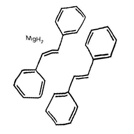 C(=Cc1ccccc1)c1ccccc1.C(=Cc1ccccc1)c1ccccc1.[MgH2]